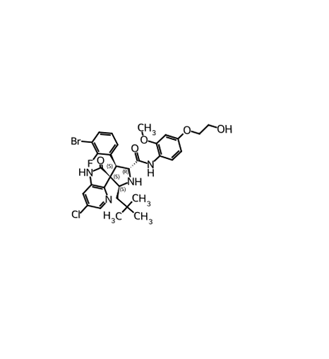 COc1cc(OCCO)ccc1NC(=O)[C@@H]1N[C@@H](CC(C)(C)C)[C@@]2(C(=O)Nc3cc(Cl)cnc32)[C@H]1c1cccc(Br)c1F